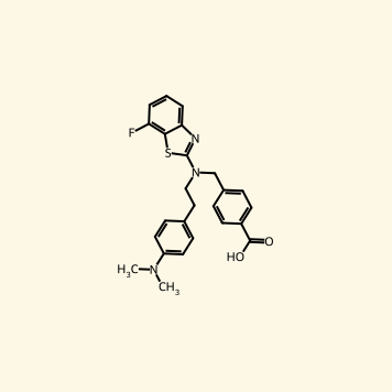 CN(C)c1ccc(CCN(Cc2ccc(C(=O)O)cc2)c2nc3cccc(F)c3s2)cc1